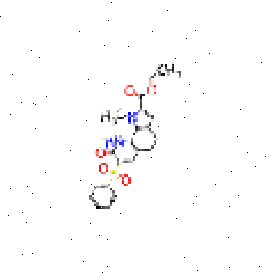 CCOC(=O)c1cc2c(n1C)-c1[nH]c(=O)c(S(=O)(=O)c3ccccc3)cc1CC2